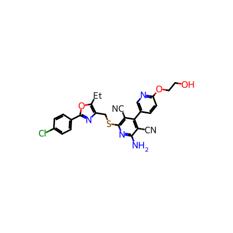 CCc1oc(-c2ccc(Cl)cc2)nc1CSc1nc(N)c(C#N)c(-c2ccc(OCCO)nc2)c1C#N